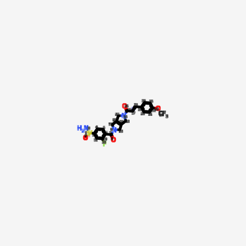 N[S+]([O-])c1ccc(C(=O)N2CC3=C(CN(C(=O)/C=C/c4ccc(OC(F)(F)F)cc4)C3)C2)c(F)c1